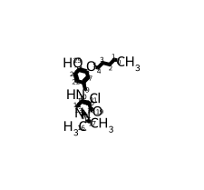 CCCCCOc1cc(CNc2cnn(C(C)C)c(=O)c2Cl)ccc1O